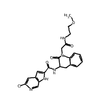 COCCNC(=O)CN1C(=O)C(NC(=O)c2cc3cc(Cl)ncc3[nH]2)Cc2ccccc21